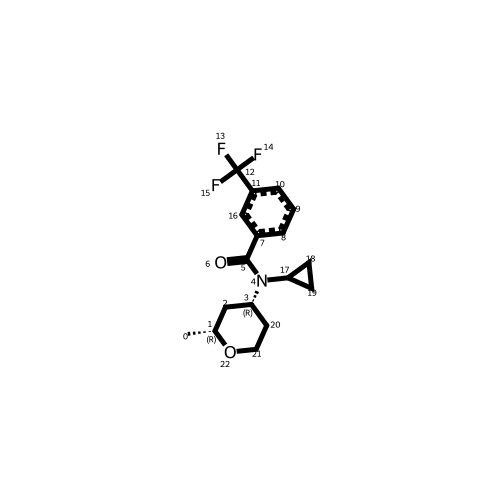 C[C@@H]1C[C@H](N(C(=O)c2cccc(C(F)(F)F)c2)C2CC2)CCO1